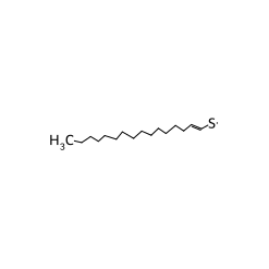 CCCCCCCCCCCCCC/C=C/[S]